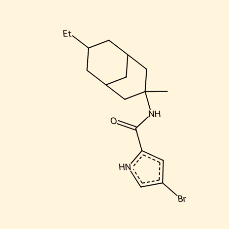 CCC1CC2CC(C1)CC(C)(NC(=O)c1cc(Br)c[nH]1)C2